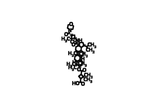 C=C(C)[C@@H]1CC[C@]2(C(=O)N[C@H]3C[C@@H](C(=O)N4CCOCC4)C3(C)C)CC[C@]3(C)C(CC[C@@H]4[C@@]5(C)CC[C@H](OC(=O)C6CC(C(=O)O)C6(C)C)C(C)(C)[C@@H]5CC[C@]43C)C12